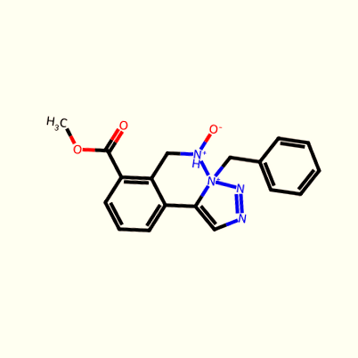 COC(=O)c1cccc2c1C[NH+]([O-])[N+]1(Cc3ccccc3)N=NC=C21